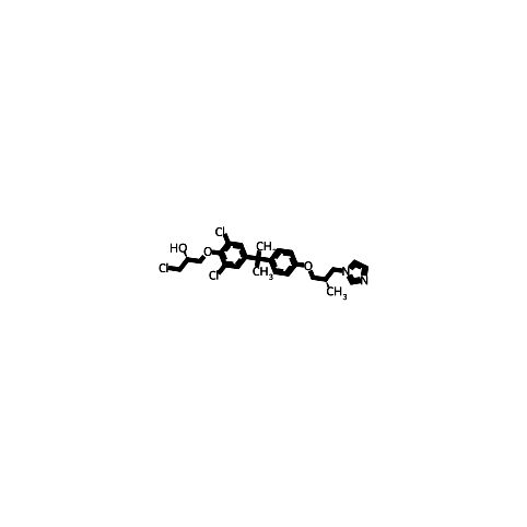 C[C@H](COc1ccc(C(C)(C)c2cc(Cl)c(OC[C@@H](O)CCl)c(Cl)c2)cc1)Cn1ccnc1